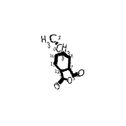 CC.O=C1OC(=O)C2CCC=CC12